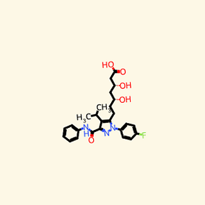 CC(C)c1c(C(=O)Nc2ccccc2)nn(-c2ccc(F)cc2)c1CC[C@@H](O)C[C@@H](O)CC(=O)O